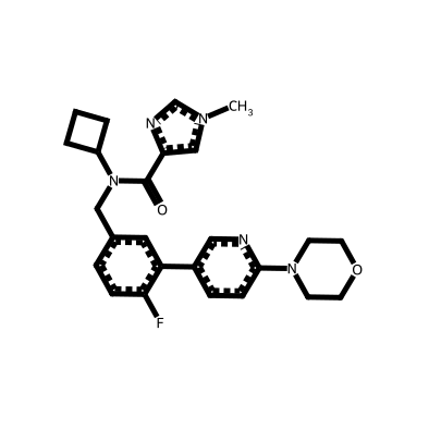 Cn1cnc(C(=O)N(Cc2ccc(F)c(-c3ccc(N4CCOCC4)nc3)c2)C2CCC2)c1